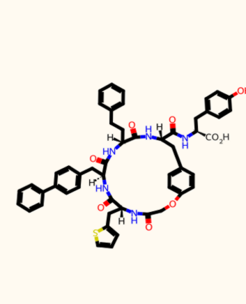 O=C1COc2ccc(cc2)C[C@@H](C(=O)N[C@@H](Cc2ccc(O)cc2)C(=O)O)NC(=O)[C@@H](CCc2ccccc2)NC(=O)[C@H](Cc2ccc(-c3ccccc3)cc2)NC(=O)[C@@H](Cc2cccs2)N1